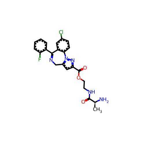 C[C@H](N)C(=O)NCCOC(=O)c1cc2n(n1)-c1ccc(Cl)cc1C(c1ccccc1F)=NC2